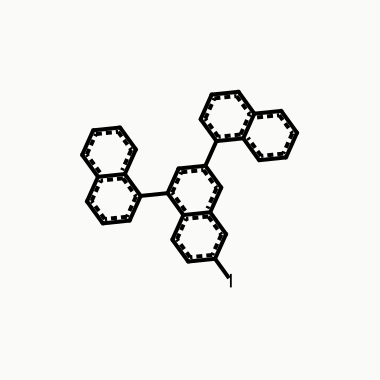 Ic1ccc2c(-c3cccc4ccccc34)cc(-c3cccc4ccccc34)cc2c1